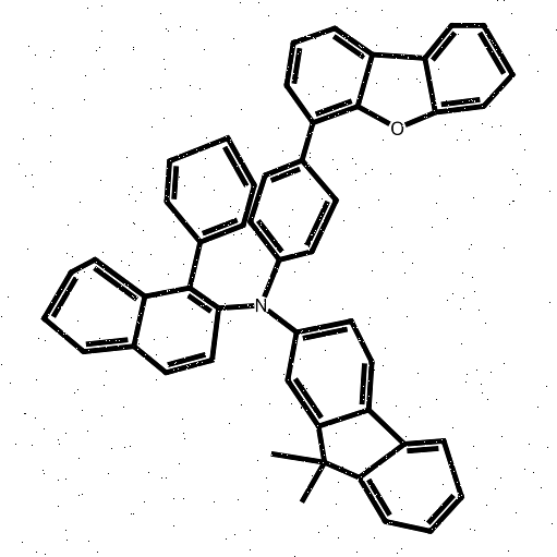 CC1(C)c2ccccc2-c2ccc(N(c3ccc(-c4cccc5c4oc4ccccc45)cc3)c3ccc4ccccc4c3-c3ccccc3)cc21